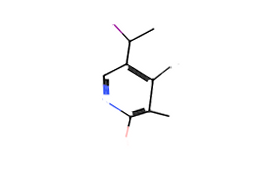 Bc1ncc(C(C)I)c(C(C)C)c1C